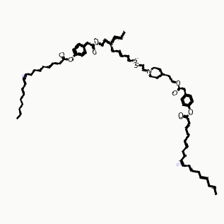 CCCCCCCC/C=C\CCCCCCCC(=O)Oc1ccc(CC(=O)OCCC(CCC)CCCCCSSCCN2CCC(CCOC(=O)Cc3ccc(OC(=O)CCCCCCC/C=C\CCCCCCCC)cc3)CC2)cc1